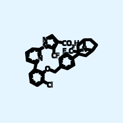 O=C(O)c1cnn(-c2cccc(-c3cccc(Cl)c3OCc3ccc(C4CC5CCC(C4)N5CC(F)(F)F)cc3)n2)c1C(F)(F)F